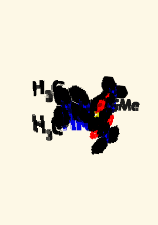 CSN1c2cc3c(cc2B2c4sc5ccccc5c4Oc4cc(N(c5ccccc5)c5ccccc5)cc1c42)B1c2cc4c(cc2Oc2cc(N(c5ccccc5)c5ccccc5)cc(c21)O3)Nc1cc(N(c2ccc(C)cc2)c2ccc(C)cc2)cc2c1B4c1sc3ccccc3c1N2c1ccccc1